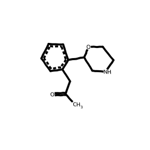 CC(=O)Cc1ccccc1C1CNCCO1